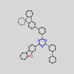 c1ccc(-c2cccc(-c3nc(-c4cccc(-c5ccc6c(c5)-c5ccccc5C65CCCCC5)c4)nc(-c4ccc5c(c4)oc4ccccc45)n3)c2)cc1